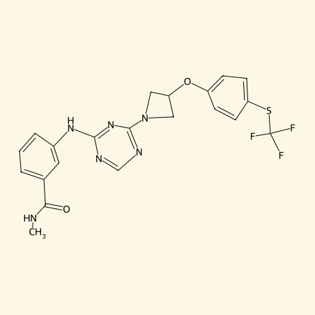 CNC(=O)c1cccc(Nc2ncnc(N3CC(Oc4ccc(SC(F)(F)F)cc4)C3)n2)c1